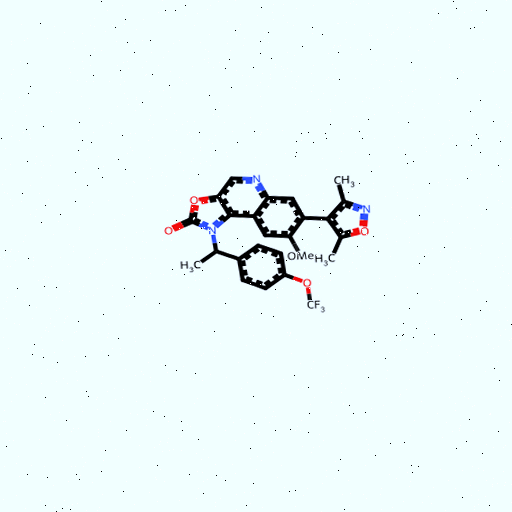 COc1cc2c(cc1-c1c(C)noc1C)ncc1oc(=O)n(C(C)c3ccc(OC(F)(F)F)cc3)c12